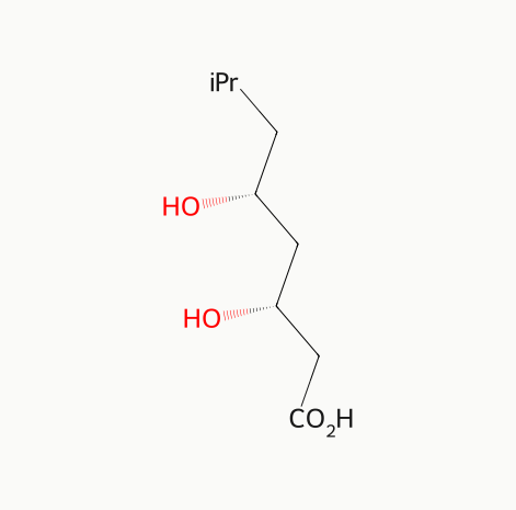 CC(C)C[C@@H](O)C[C@@H](O)CC(=O)O